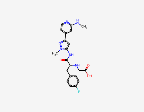 CNc1cc(-c2cc(NC(=O)[C@H](Cc3ccc(F)cc3)NCC(=O)O)n(C)n2)ccn1